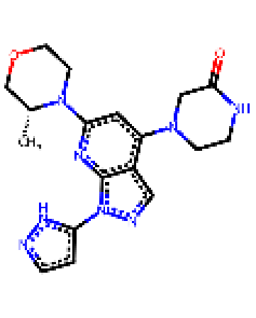 C[C@@H]1COCCN1c1cc(N2CCNC(=O)C2)c2cnn(-c3ccn[nH]3)c2n1